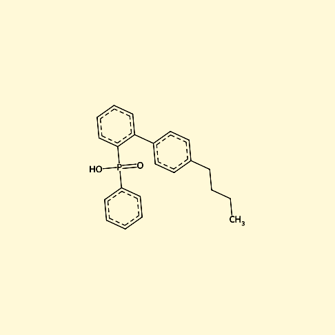 CCCCc1ccc(-c2ccccc2P(=O)(O)c2ccccc2)cc1